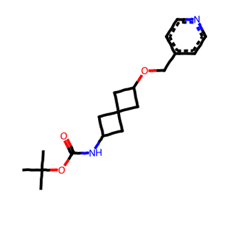 CC(C)(C)OC(=O)NC1CC2(C1)CC(OCc1ccncc1)C2